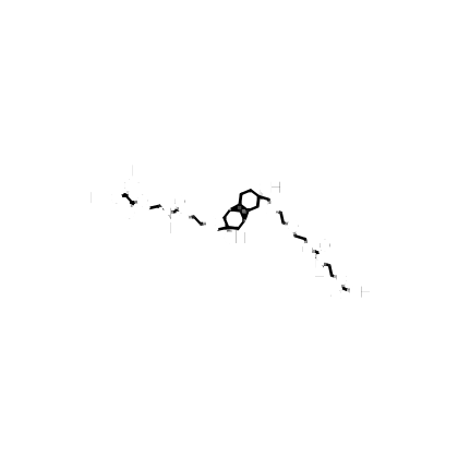 C=C(C)C(=O)OCCNC(=O)OCCOCC1(C)CC2CC(C1)C1CC(C)(COCCOCCOC(=O)NCCOC(C)=O)CCC21